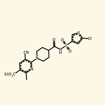 CCOC(=O)c1cc(C#N)c(N2CCC(C(=O)NS(=O)(=O)c3csc(Cl)c3)CC2)nc1C